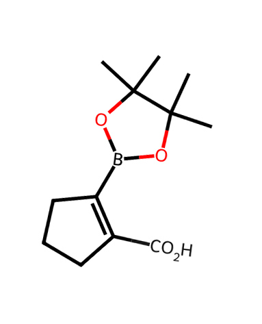 CC1(C)OB(C2=C(C(=O)O)CCC2)OC1(C)C